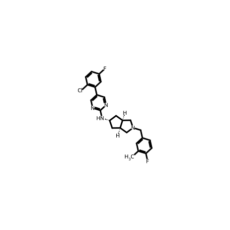 Cc1cc(CN2C[C@H]3C[C@H](Nc4ncc(-c5cc(F)ccc5Cl)cn4)C[C@H]3C2)ccc1F